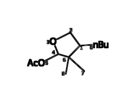 CCCCC1COC(OC(C)=O)C1(C)C